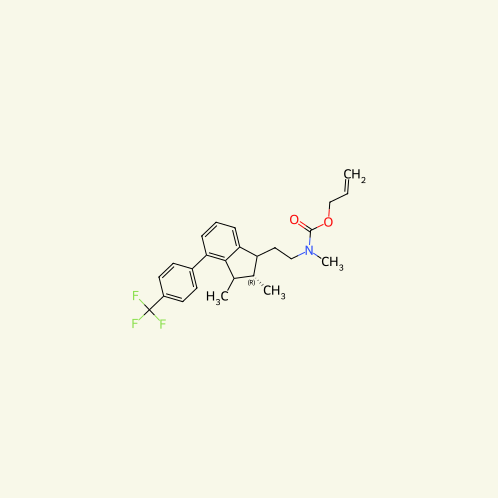 C=CCOC(=O)N(C)CCC1c2cccc(-c3ccc(C(F)(F)F)cc3)c2C(C)[C@H]1C